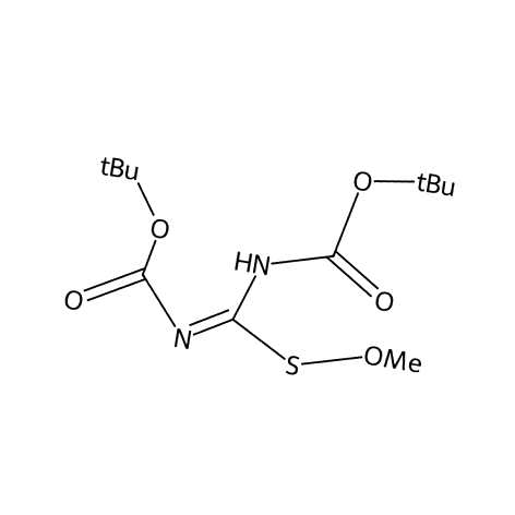 COSC(=NC(=O)OC(C)(C)C)NC(=O)OC(C)(C)C